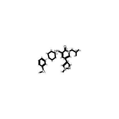 COc1cccc([C@H]2CC[C@@H](Nc3cc(-c4cnn(C)c4)cn(CC(C)C)c3=O)CC2)c1